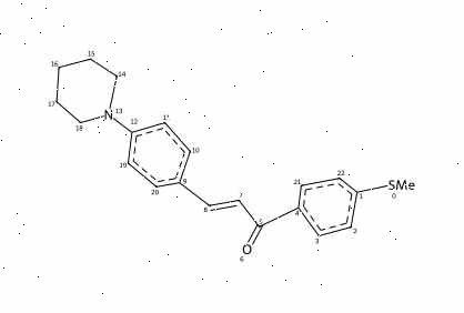 CSc1ccc(C(=O)/C=C/c2ccc(N3CCCCC3)cc2)cc1